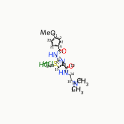 COc1ccc(C(=O)Nc2nc(C(=O)NCCN(C)C)cs2)cc1.Cl.Cl